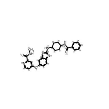 CNC(=O)c1cc(Oc2ccc3nc(NC4CCC(NC(=O)c5ccccc5)CC4)sc3c2)ccn1